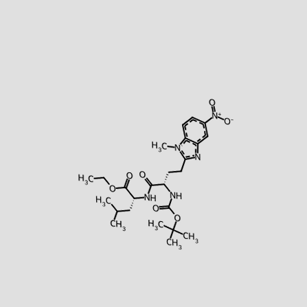 CCOC(=O)[C@@H](CC(C)C)NC(=O)[C@H](CCc1nc2cc([N+](=O)[O-])ccc2n1C)NC(=O)OC(C)(C)C